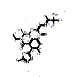 C=N/C(=C\N=C(/C)C(F)(F)F)OC[C@H](C)N(CC)C(=O)c1cccc(C)c1-c1nnc(C)o1